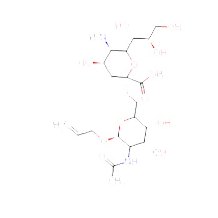 C=CCO[C@H]1OC(CO[C@]2(C(=O)O)C[C@@H](O)[C@@H](N)C([C@H](O)[C@H](O)CO)O2)[C@H](O)[C@H](O)C1NC(C)=O